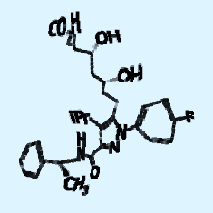 CC(C)c1c(C(=O)N[C@@H](C)c2ccccc2)nn(-c2ccc(F)cc2)c1CC[C@@H](O)C[C@@H](O)CC(=O)O